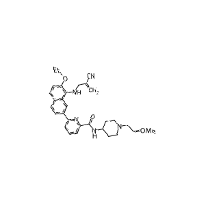 C=C(C#N)CNc1c(OCC)ccc2ccc(-c3cccc(C(=O)NC4CCN(CCOC)CC4)n3)cc12